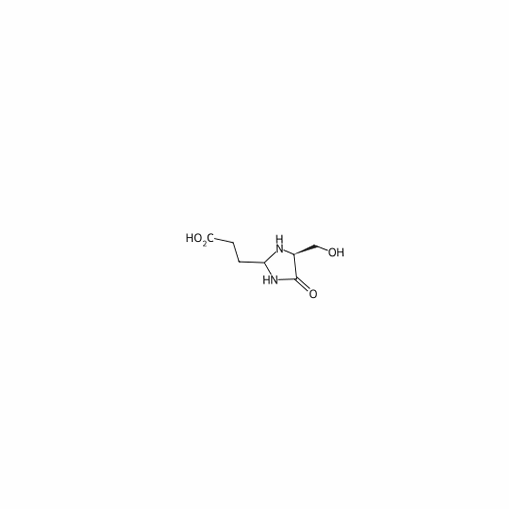 O=C(O)CCC1NC(=O)[C@H](CO)N1